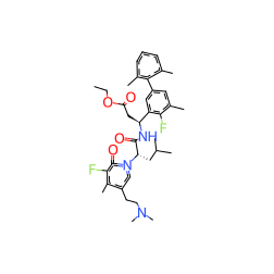 CCOC(=O)C[C@H](NC(=O)[C@H](CC(C)C)n1cc(CCN(C)C)c(C)c(F)c1=O)c1cc(-c2c(C)cccc2C)cc(C)c1F